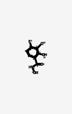 O=C(NO)c1ccc(F)c(Cl)c1O